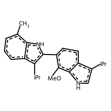 COc1c(-c2[nH]c3c(C)cccc3c2C(C)C)ccc2c(C(C)C)c[nH]c12